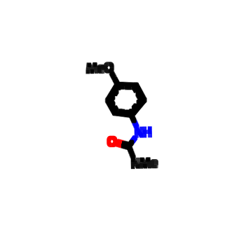 [CH2]NC(=O)Nc1ccc(OC)cc1